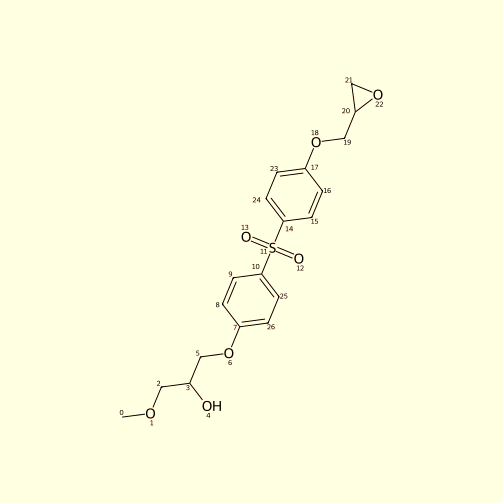 COCC(O)COc1ccc(S(=O)(=O)c2ccc(OCC3CO3)cc2)cc1